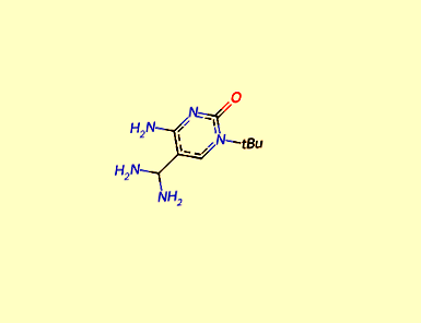 CC(C)(C)n1cc(C(N)N)c(N)nc1=O